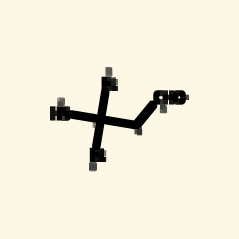 CCC(S)(CC)C[C]=O